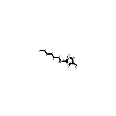 CCCCCCNc1nc(C)co1